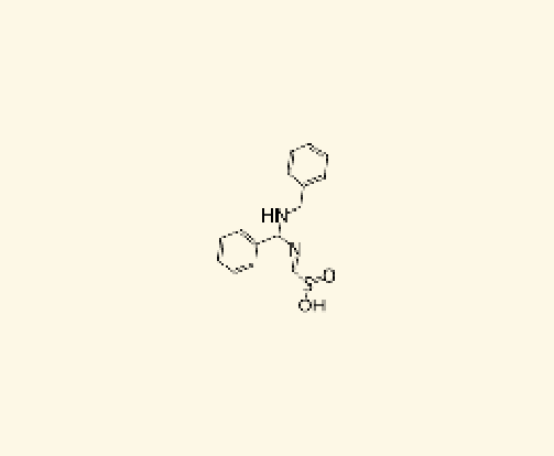 O=S(O)C=NC(NCc1ccccc1)c1ccccc1